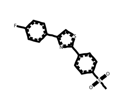 CS(=O)(=O)c1ccc(-c2nc(-c3ccc(F)cc3)cs2)cc1